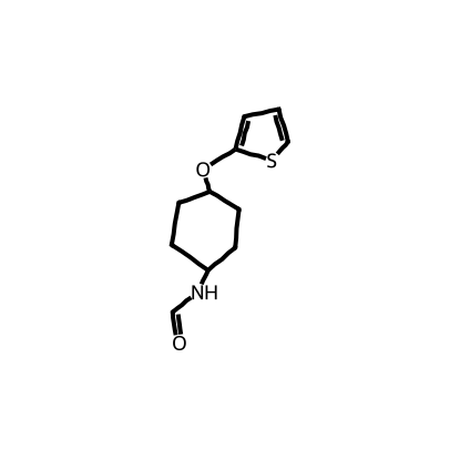 O=CNC1CCC(Oc2cccs2)CC1